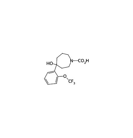 O=C(O)N1CCCC(O)(c2ccccc2OC(F)(F)F)CC1